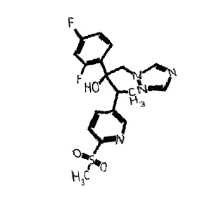 CC(c1ccc(S(C)(=O)=O)nc1)C(O)(Cn1cncn1)c1ccc(F)cc1F